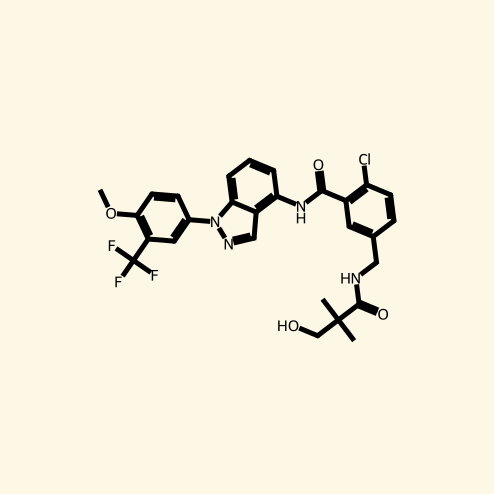 COc1ccc(-n2ncc3c(NC(=O)c4cc(CNC(=O)C(C)(C)CO)ccc4Cl)cccc32)cc1C(F)(F)F